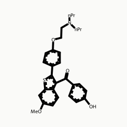 CCCN(CCC)CCOc1ccc(-c2sc3cc(OC)ccc3c2C(=O)c2ccc(O)cc2)cc1